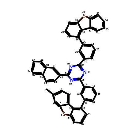 Cc1ccc2c(c1)sc1cccc(-c3cccc(-c4nc(-c5cccc(-c6cccc7sc8ccccc8c67)c5)nc(-c5ccc6ccccc6c5)n4)c3)c12